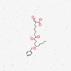 CCCCCC(CCC(OC)C(=O)CCCCCC(=C=O)C(=O)OC)OCc1ccccc1